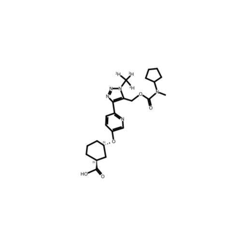 [2H]C([2H])([2H])n1nnc(-c2ccc(O[C@H]3CCC[C@H](C(=O)O)C3)cn2)c1COC(=O)N(C)C1CCCC1